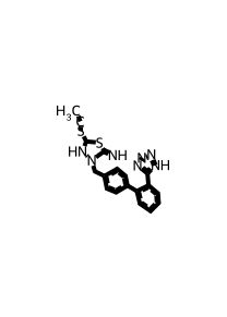 CCSC1NN(Cc2ccc(-c3ccccc3-c3nnn[nH]3)cc2)C(=N)S1